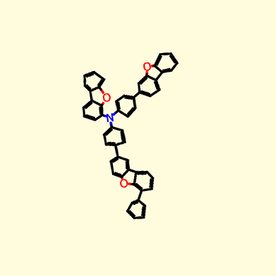 c1ccc(-c2cccc3c2oc2ccc(-c4ccc(N(c5ccc(-c6ccc7c(c6)oc6ccccc67)cc5)c5cccc6c5oc5ccccc56)cc4)cc23)cc1